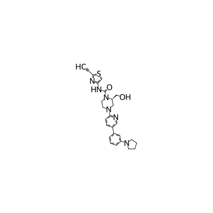 C#Cc1nc(NC(=O)N2CCN(c3ccc(-c4cccc(N5CCCC5)c4)cn3)C[C@@H]2CO)cs1